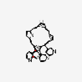 C1=Cc2cc3c(-c4cccnc4)c(-c4cccnc4)c(c(-c4cccnc4)c4nc(cc5ccc(cc1n2)[nH]5)C=C4)n3-c1cccnc1